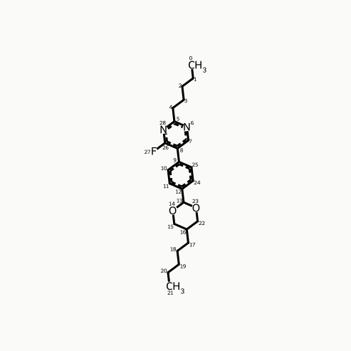 CCCCCc1ncc(-c2ccc(C3OCC(CCCCC)CO3)cc2)c(F)n1